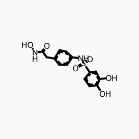 O=C(Cc1ccc(NS(=O)(=O)c2ccc(O)c(O)c2)cc1)NO